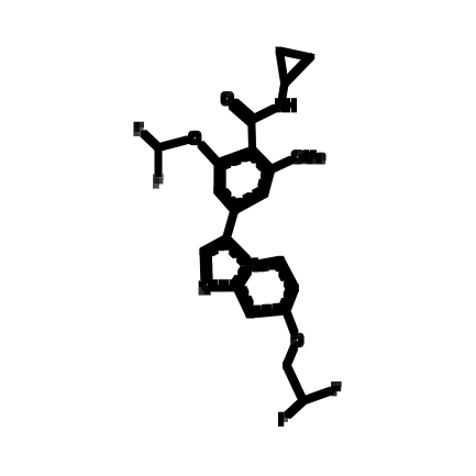 COc1cc(-c2cnc3cc(OCC(F)F)ccn23)cc(OC(F)F)c1C(=O)NC1CC1